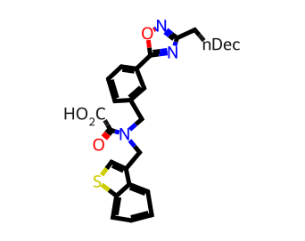 CCCCCCCCCCCc1noc(-c2cccc(CN(Cc3csc4ccccc34)C(=O)C(=O)O)c2)n1